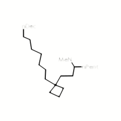 CCCCCCCCCCCCCCCCCC1(CCC(CCCCC)NC)CCC1